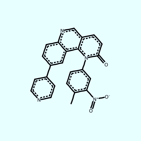 Cc1ccc(-n2c(=O)ccc3cnc4ccc(-c5ccncc5)cc4c32)cc1[N+](=O)[O-]